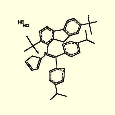 CC(C)c1ccc([C](c2ccc(C(C)C)cc2)=[Zr]([C]2=CC=CC2)[c]2c(C(C)(C)C)ccc3c2Cc2cc(C(C)(C)C)ccc2-3)cc1.Cl.Cl